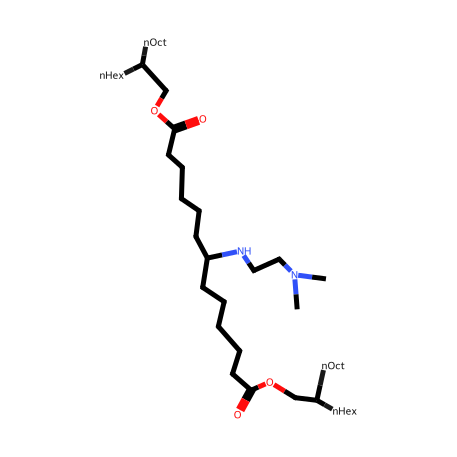 CCCCCCCCC(CCCCCC)COC(=O)CCCCCC(CCCCCC(=O)OCC(CCCCCC)CCCCCCCC)NCCN(C)C